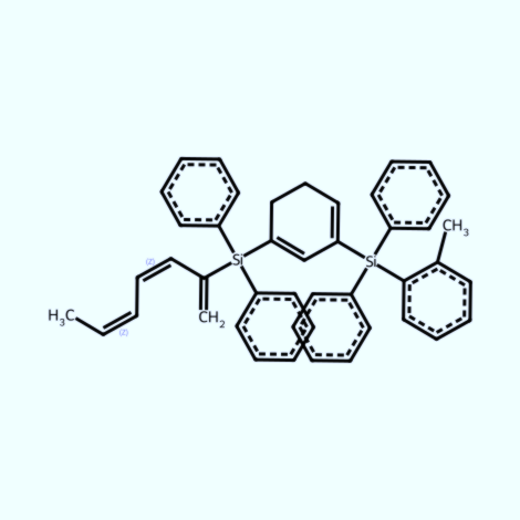 C=C(/C=C\C=C/C)[Si](C1=CC([Si](c2ccccc2)(c2ccccc2)c2ccccc2C)=CCC1)(c1ccccc1)c1ccccc1